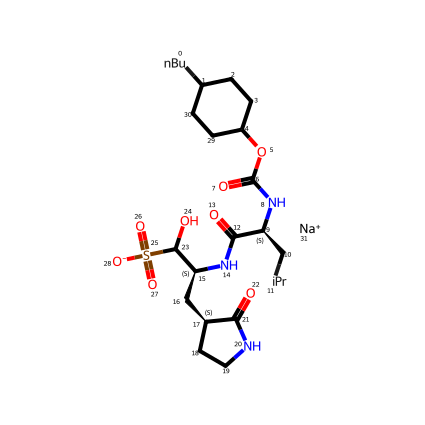 CCCCC1CCC(OC(=O)N[C@@H](CC(C)C)C(=O)N[C@@H](C[C@@H]2CCNC2=O)C(O)S(=O)(=O)[O-])CC1.[Na+]